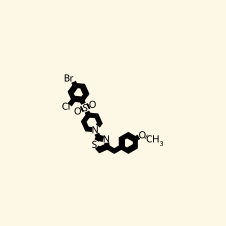 COc1ccc(Cc2csc(N3CCC(S(=O)(=O)c4ccc(Br)cc4Cl)CC3)n2)cc1